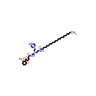 CCC=CCC=CCC=CCC=CCC=CCC=CCCC(=O)NCCN(CCNC(=O)C1=CC(=O)C(C)(c2ccccc2)O1)CCN1CCNCC1